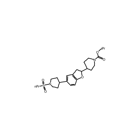 CCCS(=O)(=O)N1CCC(c2ccc3c(c2)CC(C2CCN(C(=O)OC(C)C)CC2)O3)CC1